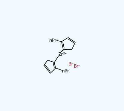 CCCC1=[C]([Zr+2][C]2=C(CCC)C=CC2)CC=C1.[Br-].[Br-]